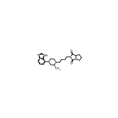 C[C@H]1CN(c2cccc3nc[nH]c23)CCN1CCCCN1C(=O)C2CCCN2C1=O